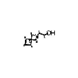 OCCN1CC2(CCC2)C1